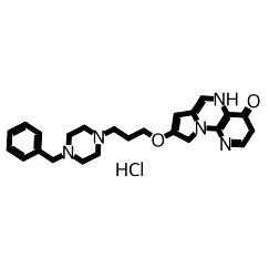 Cl.O=C1CC=NC2=C1NC=C1C=C(OCCCN3CCN(Cc4ccccc4)CC3)CN12